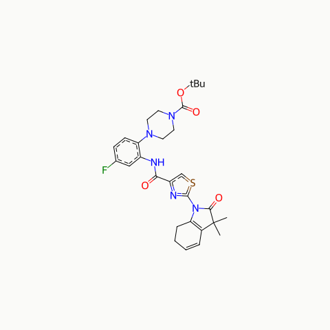 CC(C)(C)OC(=O)N1CCN(c2ccc(F)cc2NC(=O)c2csc(N3C(=O)C(C)(C)C4=C3CCC=C4)n2)CC1